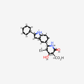 CCc1c(-c2ccc3[nH]c(-c4ccccc4)cc3c2)[nH]c(=O)c(C(=O)O)c1O